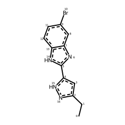 CCc1cc(-c2nc3cc(Br)ccc3[nH]2)[nH]n1